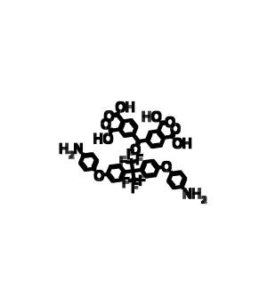 Nc1ccc(Oc2ccc(C(c3ccc(Oc4ccc(N)cc4)cc3)(C(F)(F)F)C(F)(F)F)cc2)cc1.O=C(c1ccc(C(=O)O)c(C(=O)O)c1)c1ccc(C(=O)O)c(C(=O)O)c1